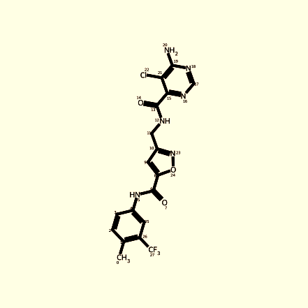 Cc1ccc(NC(=O)c2cc(CNC(=O)c3ncnc(N)c3Cl)no2)cc1C(F)(F)F